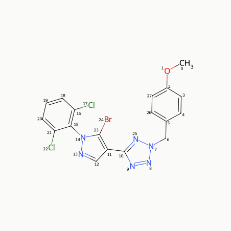 COc1ccc(Cn2nnc(-c3cnn(-c4c(Cl)cccc4Cl)c3Br)n2)cc1